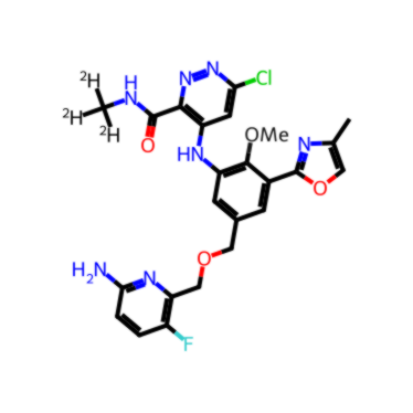 [2H]C([2H])([2H])NC(=O)c1nnc(Cl)cc1Nc1cc(COCc2nc(N)ccc2F)cc(-c2nc(C)co2)c1OC